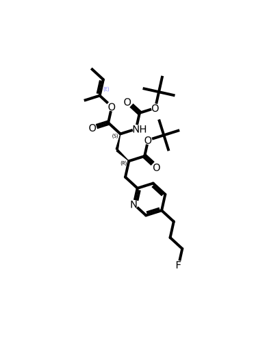 C/C=C(\C)OC(=O)[C@H](C[C@H](Cc1ccc(CCCF)cn1)C(=O)OC(C)(C)C)NC(=O)OC(C)(C)C